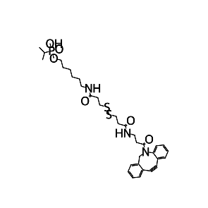 CC(C)P(=O)(O)OCCCCCCNC(=O)CCSSCCC(=O)NCCC(=O)N1Cc2ccccc2C#Cc2ccccc21